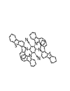 N#Cc1c(-n2c3ccccc3c3ccccc32)c(-n2c3ccccc3c3c4sc5ccccc5c4ccc32)c(C#N)c(-n2c3ccccc3c3ccccc32)c1-n1c2ccccc2c2c3sc4ccccc4c3ccc21